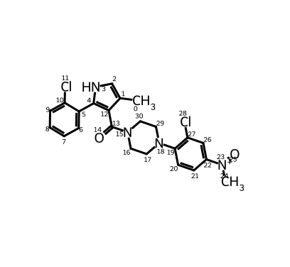 Cc1c[nH]c(-c2ccccc2Cl)c1C(=O)N1CCN(c2ccc([N+](C)=O)cc2Cl)CC1